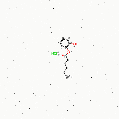 CNCCCCC(=O)Oc1ccccc1O.Cl